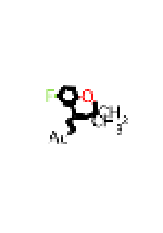 CC(=O)C=CC1=CC(C)(C)COc2ccc(F)cc21